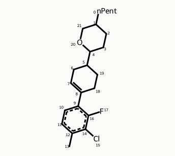 CCCCCC1CCC(C2CC=C(c3ccc(C)c(Cl)c3F)CC2)OC1